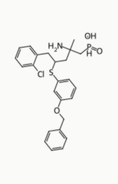 CC(N)(CC(Cc1ccccc1Cl)Sc1cccc(OCc2ccccc2)c1)C[PH](=O)O